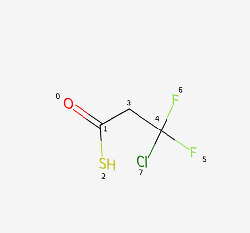 O=C(S)CC(F)(F)Cl